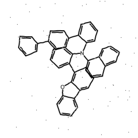 c1ccc(-c2ccc(-c3ccccc3N(c3ccccc3-c3cccc4c3oc3ccccc34)c3cccc4ccccc34)cc2)cc1